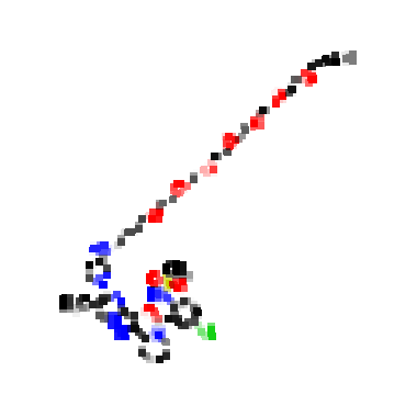 C#CCOCCOCCOCCOCCOCCOCCOCCCCN[C@H]1CCN(c2nc3cc([C@@H]4CCCCN4C(=O)c4cc(Cl)ccc4NS(C)(=O)=O)nn3cc2C)C1